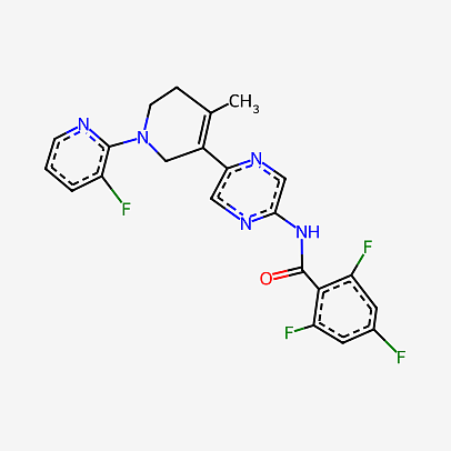 CC1=C(c2cnc(NC(=O)c3c(F)cc(F)cc3F)cn2)CN(c2ncccc2F)CC1